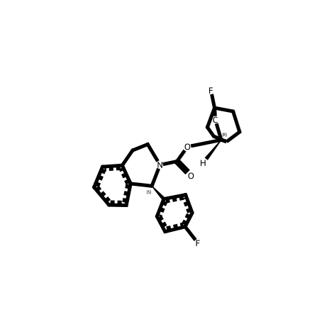 O=C(O[C@@H]1CC2(F)CCC1CC2)N1CCc2ccccc2[C@@H]1c1ccc(F)cc1